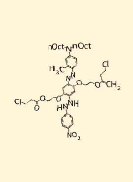 C=C(CCCl)OCCOc1cc(NNc2ccc([N+](=O)[O-])cc2)c(OCCOC(=O)CCCl)cc1/N=N/c1ccc(N(CCCCCCCC)CCCCCCCC)cc1C